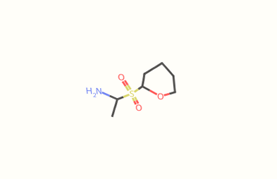 CC(N)S(=O)(=O)C1CCCCO1